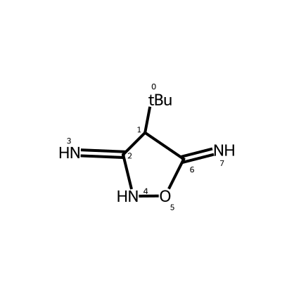 CC(C)(C)C1C(=N)NOC1=N